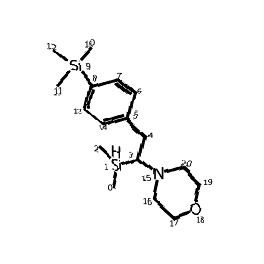 C[SiH](C)C(Cc1ccc([Si](C)(C)C)cc1)N1CCOCC1